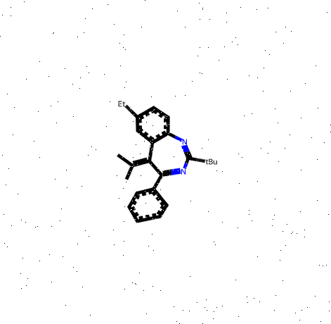 CCc1ccc2c(c1)C(=C(C)C)C(c1ccccc1)=NC(C(C)(C)C)=N2